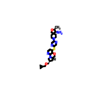 C[C@@H]1OCC2(CCN(c3cnc(Sc4ccnc5c4OC[C@@H]4C[C@H](COCC6CC6)CN54)cn3)CC2)[C@@H]1N